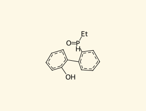 CC[PH](=O)c1ccccc1-c1ccccc1O